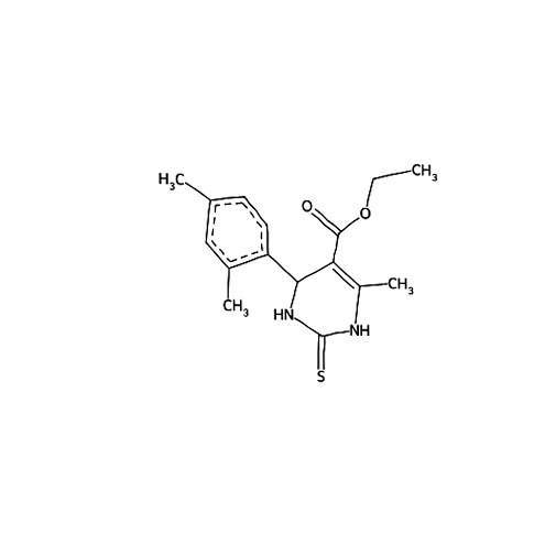 CCOC(=O)C1=C(C)NC(=S)NC1c1ccc(C)cc1C